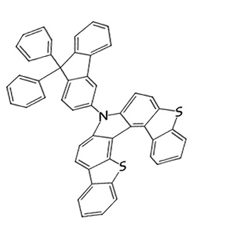 c1ccc(C2(c3ccccc3)c3ccccc3-c3cc(-n4c5ccc6c7ccccc7sc6c5c5c6c(ccc54)sc4ccccc46)ccc32)cc1